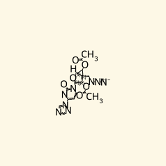 CC(=O)OC1[C@H]2O[C@@H](n3ccc(-n4cncn4)nc3=O)[C@H](OC(C)=O)[C@@]12CN=[N+]=[N-]